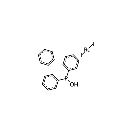 OP(c1ccccc1)c1ccccc1.[I][Ru][I].c1ccccc1